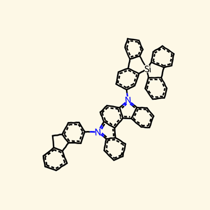 c1ccc2c(c1)Cc1ccc(-n3c4ccccc4c4c5c6ccccc6n(-c6ccc7c(c6)[Si]6(c8ccccc8-c8ccccc86)c6ccccc6-7)c5ccc43)cc1-2